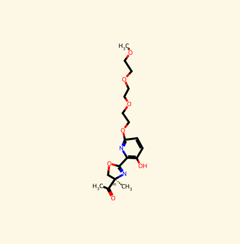 COCCOCCOCCOc1ccc(O)c(C2=N[C@@](C)(C(C)=O)CO2)n1